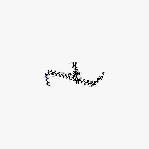 CCCCC/C=C\C/C=C\CCCCCCCCCC(=O)O[C@H](COC(=O)CCCCCCC/C=C\CCCCCCC)COP(=O)([O-])OCC[N+](C)(C)C